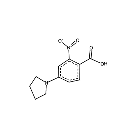 O=C(O)c1ccc(N2CCCC2)cc1[N+](=O)[O-]